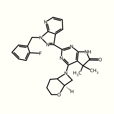 CC1(C)C(=O)Nc2nc(-c3nn(Cc4ccccc4F)c4ncccc34)nc(N3C[C@H]4OCCCC43)c21